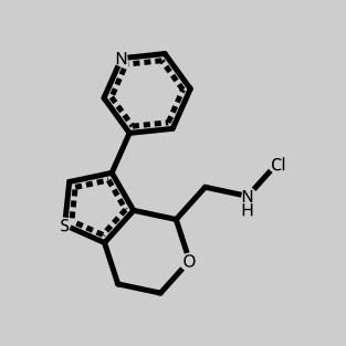 ClNCC1OCCc2scc(-c3cccnc3)c21